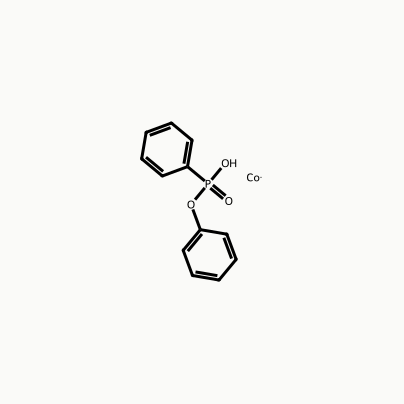 O=P(O)(Oc1ccccc1)c1ccccc1.[Co]